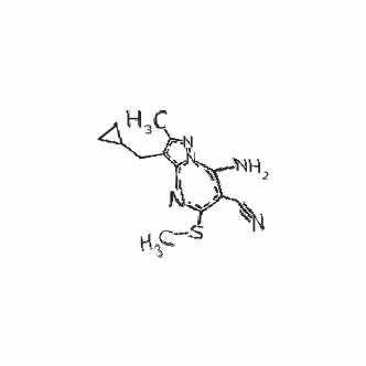 CSc1nc2c(CC3CC3)c(C)nn2c(N)c1C#N